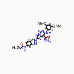 C=CC(=O)Nc1ccc(CNc2cn3cnc(Nc4cc(OC)cc(OC)c4)c(C(N)=O)c3n2)cc1